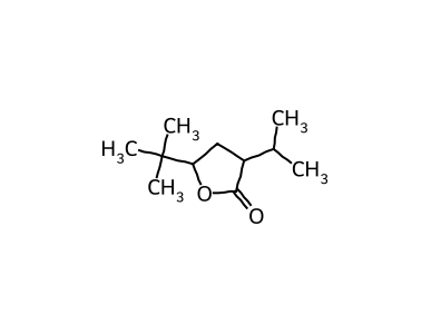 CC(C)C1CC(C(C)(C)C)OC1=O